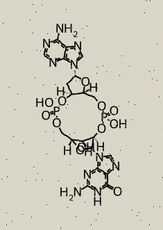 Nc1nc2c(ncn2[C@@H]2O[C@@H]3COP(=O)(O)O[C@H]4C[C@H](n5cnc6c(N)ncnc65)O[C@@H]4COP(=O)(O)O[C@@H]2[C@@H]3O)c(=O)[nH]1